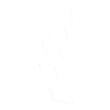 C/C=C/C=C/CO.CCCCCCCC/C=C\CCCCCCCC(=O)O